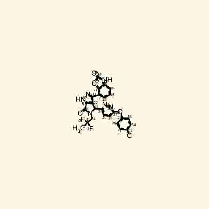 CC(F)(F)CN1C(=O)c2[nH]nc(-c3cccc4[nH]c(=O)oc34)c2C1c1ccc(Oc2ccc(Cl)cc2)nn1